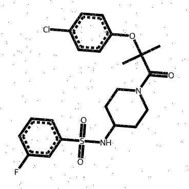 CC(C)(Oc1ccc(Cl)cc1)C(=O)N1CCC(NS(=O)(=O)c2cccc(F)c2)CC1